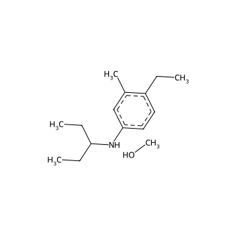 CCc1ccc(NC(CC)CC)cc1C.CO